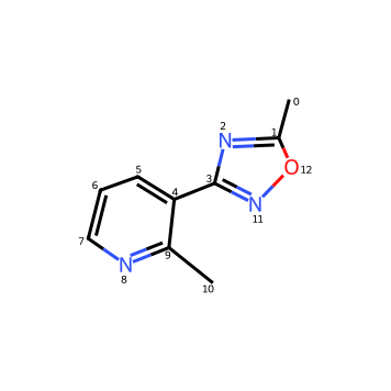 Cc1nc(-c2cccnc2C)no1